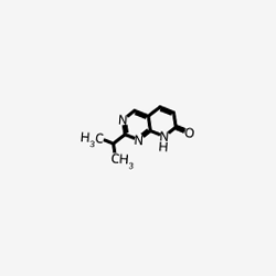 CC(C)c1ncc2ccc(=O)[nH]c2n1